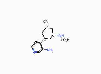 Nc1cnccc1[C@H]1C[C@@H](NC(=O)O)C[C@@H](C(F)(F)F)C1